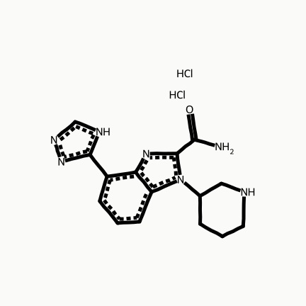 Cl.Cl.NC(=O)c1nc2c(-c3nnc[nH]3)cccc2n1C1CCCNC1